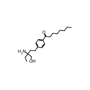 CCCCCCCC(=O)c1ccc(CCC(N)(CC)CO)cc1